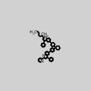 C=C(/C=C\C=C/C)c1cc(-c2ccccc2)c2cc(C3=CC=C(C4(c5ccc(-c6ccc7nc(-c8ccccn8)cc(-c8ccccc8)c7c6)cc5)CCCCC4)CC3)ccc2n1